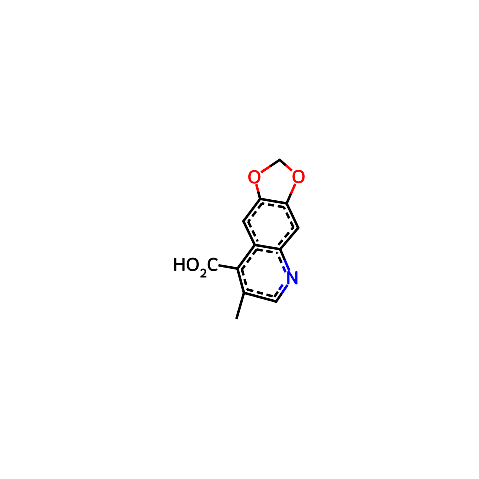 Cc1cnc2cc3c(cc2c1C(=O)O)OCO3